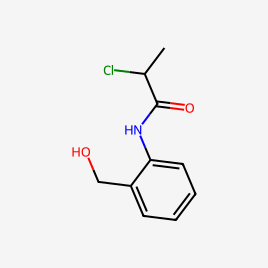 CC(Cl)C(=O)Nc1ccccc1CO